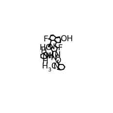 C#Cc1c(F)ccc2cc(O)cc(-c3ncc4c(N5C[C@H]6CC[C@@H](C5)N6)nc(OCC56CCCC(CN5C)C6)nc4c3F)c12